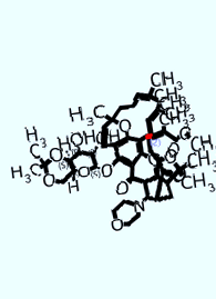 COC(=O)/C(C)=C\CC12OC(C)(C)C3CC(C1=O)C(N1CCOCC1)C1C(=O)c4c(O[C@@H]5O[C@@H]6COC(C)(C)O[C@H]6[C@H](O)[C@H]5O)c5c(c(CC=C(C)C)c4OC132)OC(C)(CCC=C(C)C)C=C5